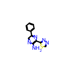 Nc1ncc(-c2ccccc2)nc1-c1nncs1